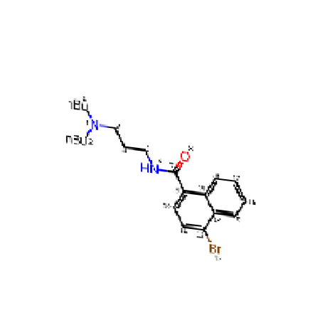 CCCCN(CCCC)CCCNC(=O)c1ccc(Br)c2ccccc12